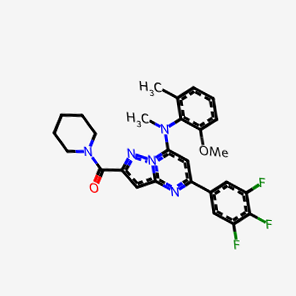 COc1cccc(C)c1N(C)c1cc(-c2cc(F)c(F)c(F)c2)nc2cc(C(=O)N3CCCCC3)nn12